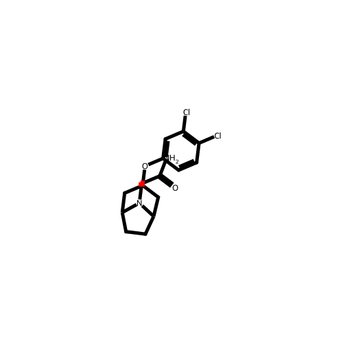 NC(=O)CN1C2CCC1CC(Oc1ccc(Cl)c(Cl)c1)C2